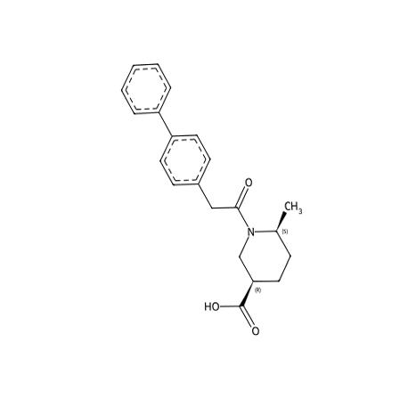 C[C@H]1CC[C@@H](C(=O)O)CN1C(=O)Cc1ccc(-c2ccccc2)cc1